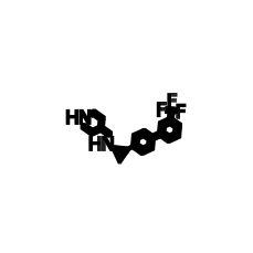 FC(F)(F)c1cccc(-c2ccc([C@H]3C[C@H]3NCC3CCNCC3)cc2)c1